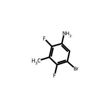 Cc1c(F)c(N)cc(Br)c1F